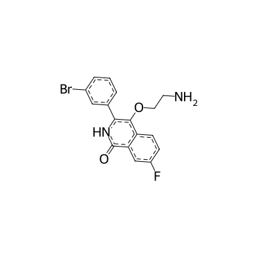 NCCOc1c(-c2cccc(Br)c2)[nH]c(=O)c2cc(F)ccc12